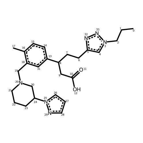 CCCn1cc(CCC(CC(=O)O)c2ccc(C)c(CN3CCCC(n4cccn4)C3)c2)nn1